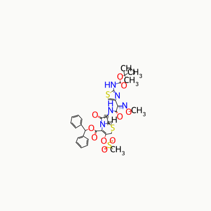 CO/N=C(\C(=O)N[C@@H]1C(=O)N2C(C(=O)OC(c3ccccc3)c3ccccc3)=C(OS(C)(=O)=O)CS[C@H]12)c1csc(NC(=O)OC(C)(C)C)n1